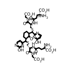 N[C@H](CCC(=O)N[C@@H](CSC(c1nccc(O)n1)C1CCCC(C(SC[C@H](NC(=O)CC[C@H](N)C(=O)O)C(=O)NCC(=O)O)c2ccnc(O)n2)C1=O)C(=O)NCC(=O)O)C(=O)O